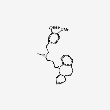 COc1ccc(CCN(C)CCCN2C3=CC=CCC3=CCc3ccccc32)cc1OC